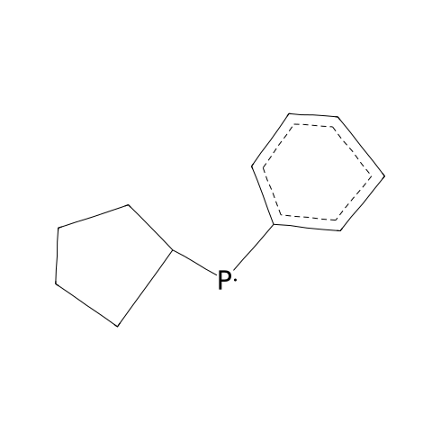 c1ccc([P]C2CCCC2)cc1